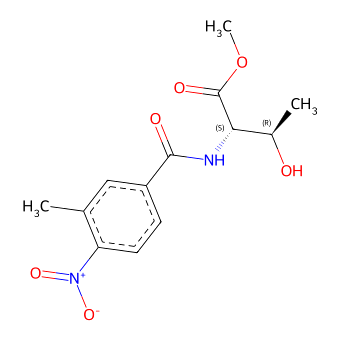 COC(=O)[C@@H](NC(=O)c1ccc([N+](=O)[O-])c(C)c1)[C@@H](C)O